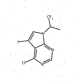 CC(n1cc(I)c2c(Cl)ncnc21)C(F)(F)F